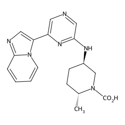 C[C@@H]1CC[C@@H](Nc2cncc(-c3cnc4ccccn34)n2)CN1C(=O)O